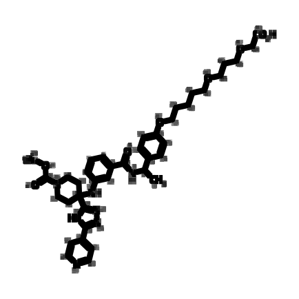 CC(NC(=O)c1cccc(NC2(c3nnc(-c4ccncc4)[nH]3)CCN(C(=O)OC(C)(C)C)CC2)c1)c1ccc(OCCCCCOCCCOCC(=O)O)cc1